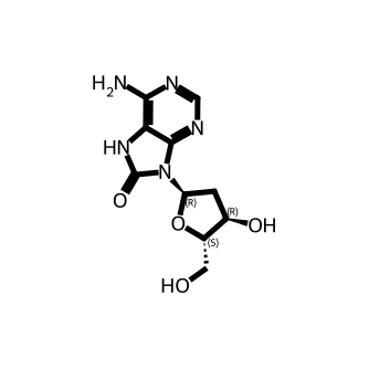 Nc1ncnc2c1[nH]c(=O)n2[C@H]1C[C@@H](O)[C@H](CO)O1